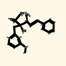 COc1ccnc(C[C@](O)(C(=O)O)[C@@H](N)/C=C/c2ccccc2)c1